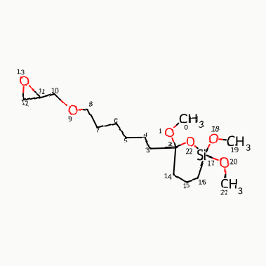 COC1(CCCCCCOCC2CO2)CCC[Si](OC)(OC)O1